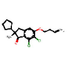 C=CCCOc1cc2c(c(Cl)c1Cl)C(=O)C(C)(C1CCCC1)C2